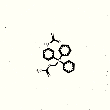 CC(=O)OC[P+](c1ccccc1)(c1ccccc1)c1ccccc1.CC(=O)[O-]